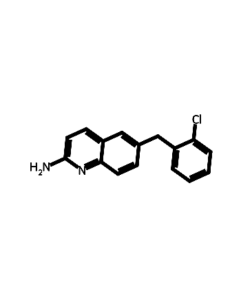 Nc1ccc2cc(Cc3ccccc3Cl)ccc2n1